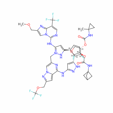 COCc1cn2c(Nc3cc([C@H]4CC[C@@H](OC(=O)NC56CC(C5)C6)[C@H]4F)[nH][n+]3Cc3cn4nc(COC(F)(F)F)cc4c(Nc4cc([C@@H]5OC[C@H](OC(=O)NC6(C)CC6)[C@H]5F)[nH]n4)n3)ncc(C(F)(F)F)c2n1